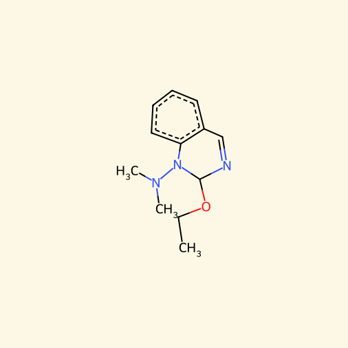 CCOC1N=Cc2ccccc2N1N(C)C